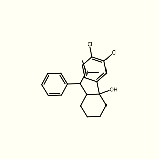 CN(C)C(c1ccccc1)C1CCCCC1(O)c1ccc(Cl)c(Cl)c1